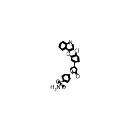 NS(=O)(=O)c1ccc(N2C[C@@H](c3ccc(Cl)c(Oc4ccnc5ccccc45)c3)CC2=O)cc1